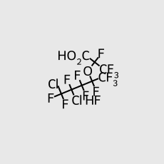 F.O=C(O)C(F)(OC(F)(C(F)(F)F)C(F)(F)C(F)(Cl)C(F)(F)Cl)C(F)(F)F